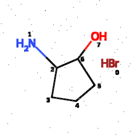 Br.NC1CCCC1O